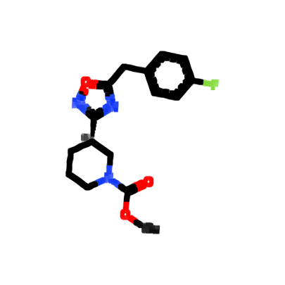 CC(C)(C)OC(=O)N1CCC[C@H](c2noc(Cc3ccc(F)cc3)n2)C1